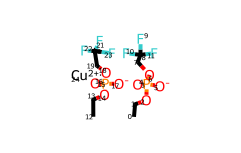 CCOP(=O)([O-])OCC(F)(F)F.CCOP(=O)([O-])OCC(F)(F)F.[Cu+2]